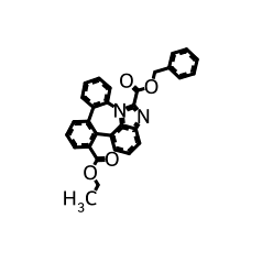 CCOC(=O)c1cccc2c1-c1cccc3nc(C(=O)OCc4ccccc4)n(c13)-c1ccccc1-2